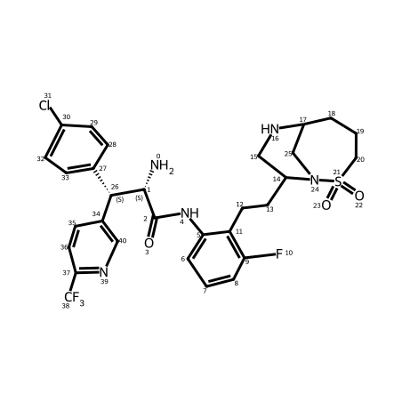 N[C@H](C(=O)Nc1cccc(F)c1CCC1CNC2CCCS(=O)(=O)N1C2)[C@@H](c1ccc(Cl)cc1)c1ccc(C(F)(F)F)nc1